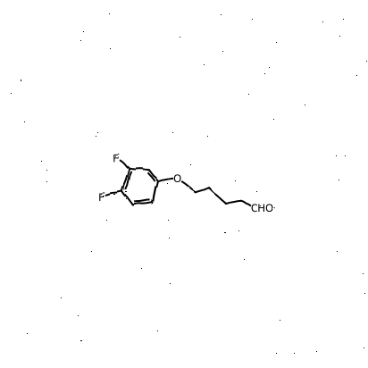 O=[C]CCCCOc1ccc(F)c(F)c1